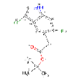 CC(C)(C)OC(=O)Cc1cc2c(Cl)c[nH]c2cc1F